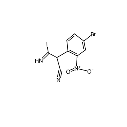 N#CC(C(=N)I)c1ccc(Br)cc1[N+](=O)[O-]